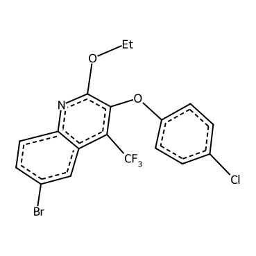 CCOc1nc2ccc(Br)cc2c(C(F)(F)F)c1Oc1ccc(Cl)cc1